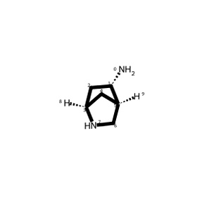 N[C@H]1C[C@H]2C[C@@H]1CN2